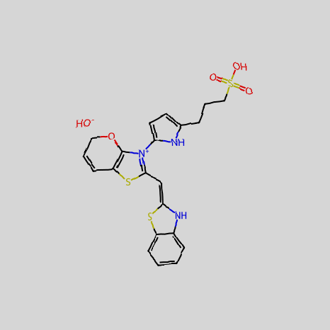 O=S(=O)(O)CCCc1ccc(-[n+]2c(C=C3Nc4ccccc4S3)sc3c2OCC=C3)[nH]1.[OH-]